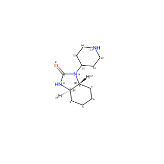 O=C1N[C@@H]2CCCC[C@H]2N1C1CCNCC1